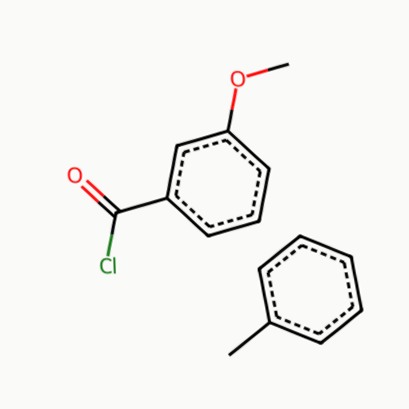 COc1cccc(C(=O)Cl)c1.Cc1ccccc1